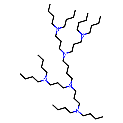 CCCCN(CCCC)CCCN(CCCCN(CCCN(CCCC)CCCC)CCCN(CCCC)CCCC)CCCN(CCCC)CCCC